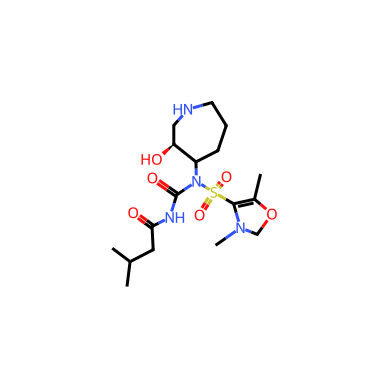 CC1=C(S(=O)(=O)N(C(=O)NC(=O)CC(C)C)C2CCCNC[C@@H]2O)N(C)CO1